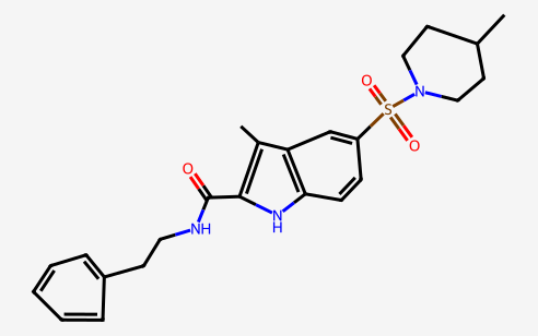 Cc1c(C(=O)NCCc2ccccc2)[nH]c2ccc(S(=O)(=O)N3CCC(C)CC3)cc12